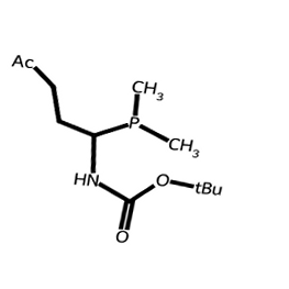 CC(=O)CCC(NC(=O)OC(C)(C)C)P(C)C